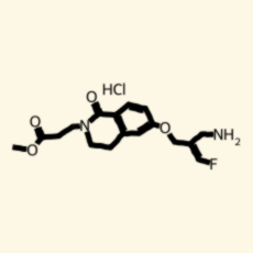 COC(=O)CCN1CCc2cc(OC/C(=C/F)CN)ccc2C1=O.Cl